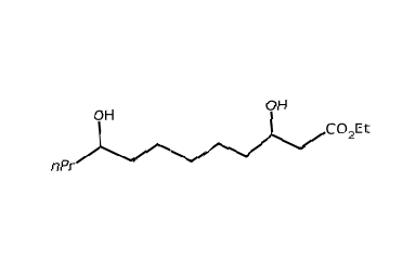 CCCC(O)CCCCCC(O)CC(=O)OCC